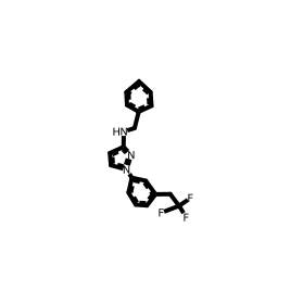 FC(F)(F)Cc1cccc(-n2ccc(NCc3ccccc3)n2)c1